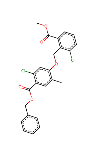 COC(=O)c1cccc(Cl)c1COc1cc(Cl)c(C(=O)OCc2ccccc2)cc1C